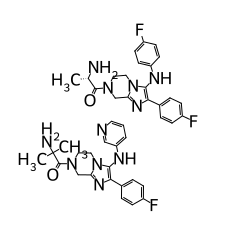 CC(C)(N)C(=O)N1CCn2c(nc(-c3ccc(F)cc3)c2Nc2cccnc2)C1.C[C@H](N)C(=O)N1CCn2c(nc(-c3ccc(F)cc3)c2Nc2ccc(F)cc2)C1